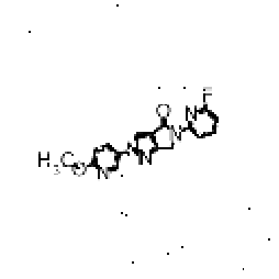 COc1ccc(-n2cc3c(n2)CN(c2cccc(F)n2)C3=O)cn1